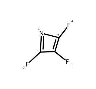 FC1=NC(F)=C1F